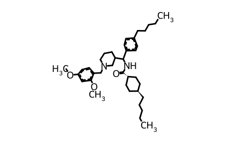 CCCCCc1ccc(C(NC(=O)[C@H]2CC[C@H](CCCCC)CC2)C2CCCN(Cc3ccc(OC)cc3OC)C2)cc1